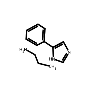 CCCN.c1ccc(-c2cnc[nH]2)cc1